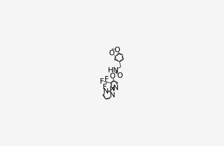 O=C(NCc1ccc2c(c1)OCO2)Oc1cnn(-c2ncccn2)c1C(F)(F)F